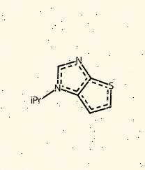 CC(C)n1cnc2sccc21